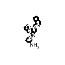 NC1CCCN(c2nc3ccn(Cc4nccc5ccccc45)c(=O)c3n2CC2C=CSC2)C1